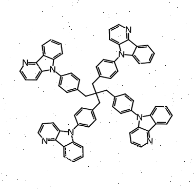 c1ccc2c(c1)c1ncccc1n2-c1ccc(CC(Cc2ccc(-n3c4ccccc4c4ncccc43)cc2)(Cc2ccc(-n3c4ccccc4c4ncccc43)cc2)Cc2ccc(-n3c4ccccc4c4ncccc43)cc2)cc1